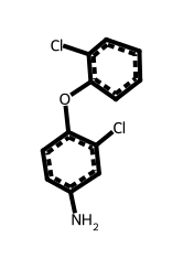 Nc1ccc(Oc2ccccc2Cl)c(Cl)c1